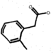 Cc1ccccc1CC([O])=O